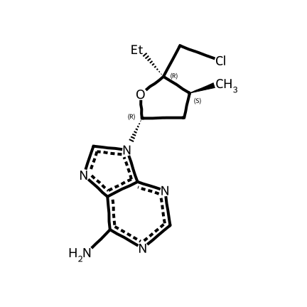 CC[C@@]1(CCl)O[C@@H](n2cnc3c(N)ncnc32)C[C@@H]1C